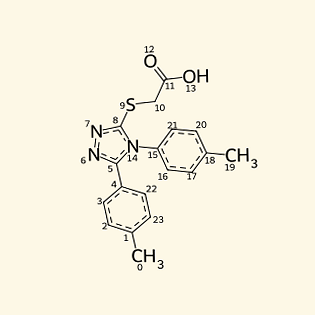 Cc1ccc(-c2nnc(SCC(=O)O)n2-c2ccc(C)cc2)cc1